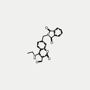 CCNc1c(C=O)c(=O)oc2cc(CN3C(=O)c4ccccc4C3=O)ccc12